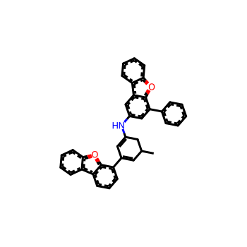 CC1C=C(c2cccc3c2oc2ccccc23)C=C(Nc2cc(-c3ccccc3)c3oc4ccccc4c3c2)C1